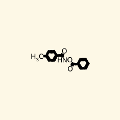 Cc1ccc(C(=O)NOC(=O)c2ccccc2)cc1